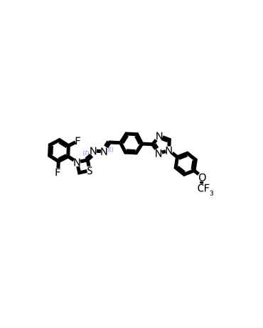 Fc1cccc(F)c1N1CS/C1=N\N=C\c1ccc(-c2ncn(-c3ccc(OC(F)(F)F)cc3)n2)cc1